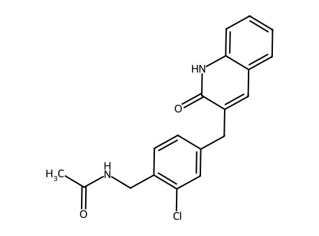 CC(=O)NCc1ccc(Cc2cc3ccccc3[nH]c2=O)cc1Cl